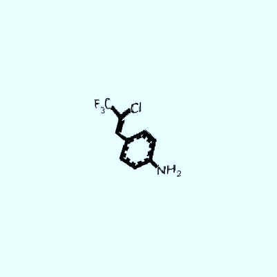 Nc1ccc(C=C(Cl)C(F)(F)F)cc1